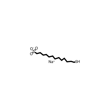 O=S(=O)([O-])CCCCCCCCCCCCCS.[Na+]